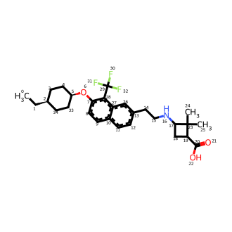 CC[C@H]1CC[C@@H](Oc2ccc3ccc(CCNC4CC(C(=O)O)C4(C)C)cc3c2C(F)(F)F)CC1